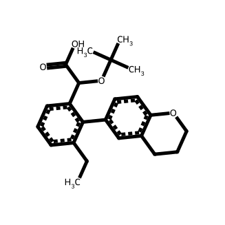 CCc1cccc(C(OC(C)(C)C)C(=O)O)c1-c1ccc2c(c1)CCCO2